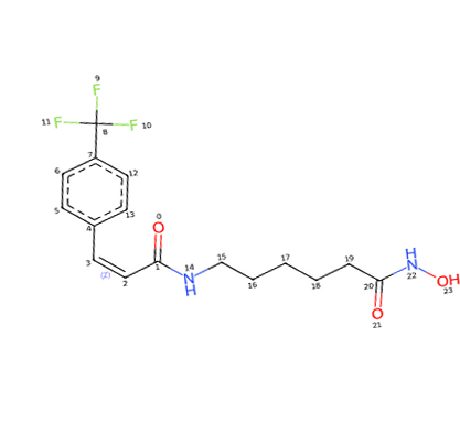 O=C(/C=C\c1ccc(C(F)(F)F)cc1)NCCCCCC(=O)NO